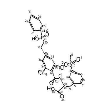 CS(=O)(=O)c1cccc(C[C@H](NC(=O)c2c(Cl)cc(CCP(=O)(O)c3ccccc3)cc2Cl)C(=O)O)c1